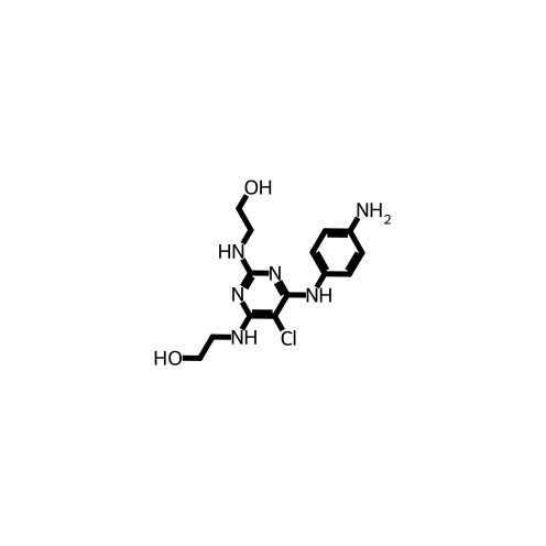 Nc1ccc(Nc2nc(NCCO)nc(NCCO)c2Cl)cc1